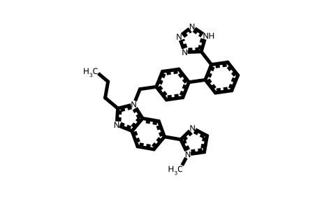 CCCc1nc2ccc(-c3nccn3C)cc2n1Cc1ccc(-c2ccccc2-c2nnn[nH]2)cc1